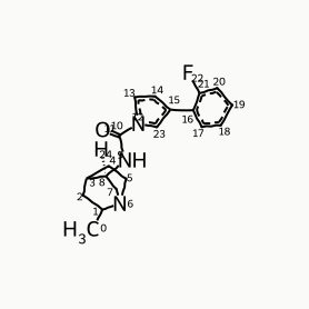 CC1CC2CCN1C[C@@H]2NC(=O)n1ccc(-c2ccccc2F)c1